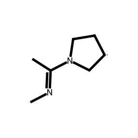 CN=C(C)N1C[CH]CC1